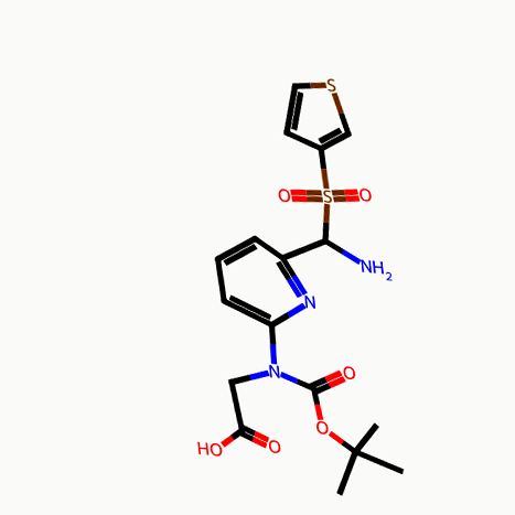 CC(C)(C)OC(=O)N(CC(=O)O)c1cccc(C(N)S(=O)(=O)c2ccsc2)n1